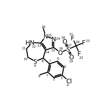 Cc1cc(Cl)ccc1C1SCCNc2c1c(OS(=O)(=O)C(F)(F)F)nn2C